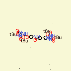 CC(C)(C)OC(=O)N=C(NCCOc1ccc(NC(=O)c2ccc(C3=CCN(C(=NC(=O)OC(C)(C)C)NC(=O)OC(C)(C)C)CC3)cc2)cc1)NC(=O)OC(C)(C)C